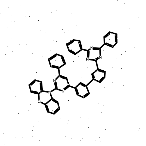 c1ccc(-c2cc(-c3cccc(-c4cccc(-c5nc(-c6ccccc6)nc(-c6ccccc6)n5)c4)c3)nc(N3c4ccccc4Oc4ccccc43)n2)cc1